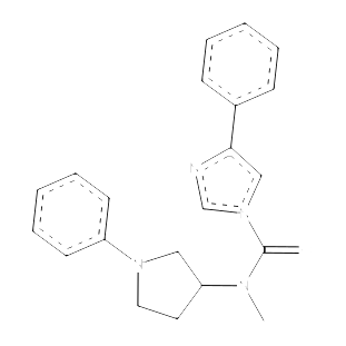 CN(C(=O)n1cnc(-c2ccccc2)c1)C1CCN(c2ccccc2)C1